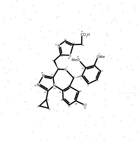 COc1cccc([C@H]2S[C@H](Cc3ncc(CC(=O)O)s3)c3nnc(C4CC4)n3-c3ccc(Cl)cc32)c1OC